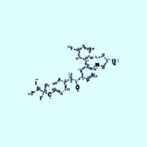 O=C(Nc1ccc(OC(F)(F)C(F)F)cc1)c1cnc(N2CCC(O)C2)c(-c2cncc(F)c2)c1